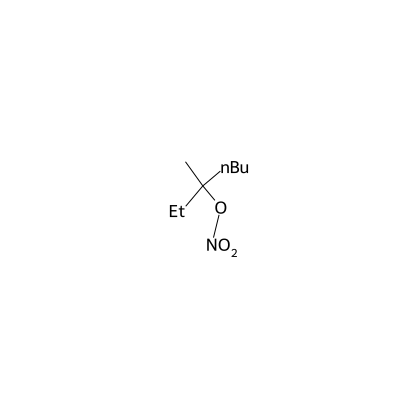 CCCCC(C)(CC)O[N+](=O)[O-]